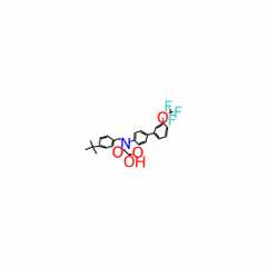 CC(C)(C)c1ccc(CN(C(=O)C(=O)O)c2ccc(-c3cccc(OC(F)(F)F)c3)cc2)cc1